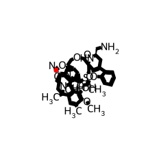 COc1c(C)cc2c(c1O)[C@H]1C3[C@@H]4SC[C@]5(N[C@@H](CN)Cc6c5oc5ccccc65)C(=O)OCC(c5c6c(c(C)c(OC(C)=O)c54)OCO6)N3[C@]3(C#N)CN1C2(C)C3